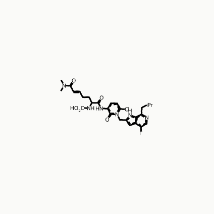 CC(C)Cc1ncc(F)c2cc(Cn3c(Cl)ccc(NC(=O)C(CCC=CC(=O)N(C)C)NC(=O)O)c3=O)[nH]c12